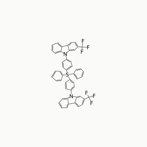 FC(F)(F)c1ccc2c3ccccc3n(-c3ccc(S(c4ccccc4)(c4ccccc4)c4ccc(-n5c6ccccc6c6ccc(C(F)(F)F)cc65)cc4)cc3)c2c1